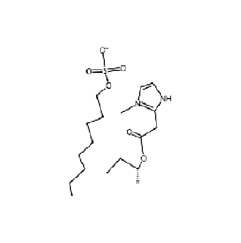 CCCCCCCCOS(=O)(=O)[O-].CC[C@@H](C)OC(=O)Cc1[nH]cc[n+]1C